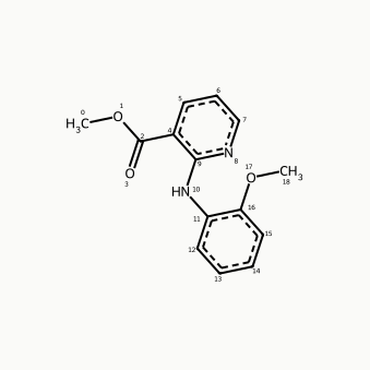 COC(=O)c1cccnc1Nc1ccccc1OC